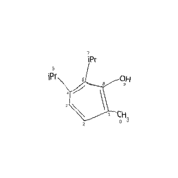 Cc1ccc(C(C)C)c(C(C)C)c1O